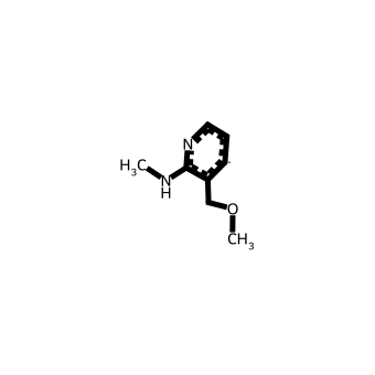 CNc1ncc[c]c1COC